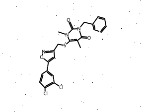 Cc1c(SCc2cc(-c3ccc(Cl)c(Cl)c3)on2)n(C)c(=O)n(Cc2ccccc2)c1=O